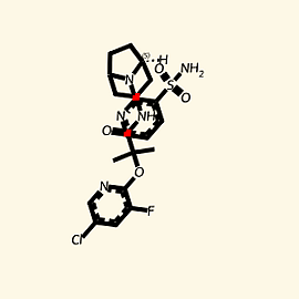 CC(C)(Oc1ncc(Cl)cc1F)C(=O)NC1CC2CC[C@@H](C1)N2c1ncccc1S(N)(=O)=O